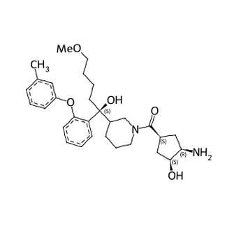 COCCCC[C@@](O)(c1ccccc1Oc1cccc(C)c1)C1CCCN(C(=O)[C@H]2C[C@@H](N)[C@@H](O)C2)C1